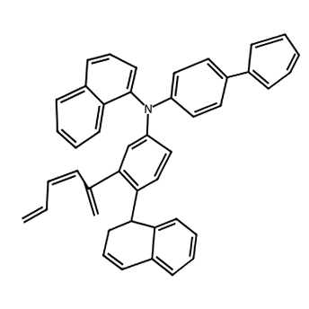 C=C/C=C\C(=C)c1cc(N(c2ccc(-c3ccccc3)cc2)c2cccc3ccccc23)ccc1C1CC=Cc2ccccc21